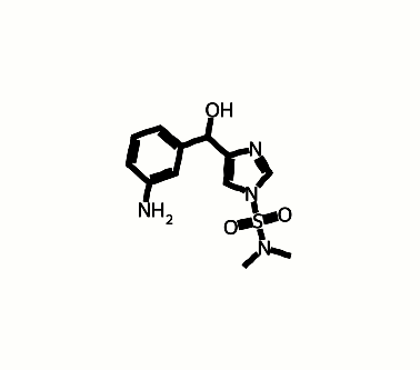 CN(C)S(=O)(=O)n1cnc(C(O)c2cccc(N)c2)c1